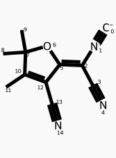 [C-]#[N+]/C(C#N)=C1\OC(C)(C)C(C)=C1C#N